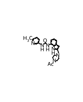 CC(=O)N1CCN(Cc2cc3cccc(NC(=O)Nc4ccc(C)nc4)c3[nH]2)CC1